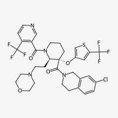 O=C(c1cnccc1C(F)(F)F)N1CCC[C@@](Oc2csc(C(F)(F)F)c2)(C(=O)N2CCc3ccc(Cl)cc3C2)[C@H]1CCN1CCOCC1